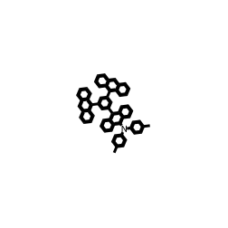 Cc1ccc(N(c2ccc(C)cc2)c2c3ccccc3c(-c3cc(-c4c5ccccc5cc5ccccc45)cc(-c4c5ccccc5cc5ccccc45)c3)c3ccccc23)cc1